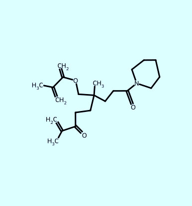 C=C(C)C(=C)OCC(C)(CCC(=O)C(=C)C)CCC(=O)N1CCCCC1